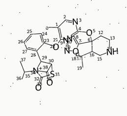 Cc1cnc(OC2(c3cnno3)CCNCC2C(C)C)nc1Oc1ccccc1C1C2SC(=O)[N+]1(C(C)C)C2=O